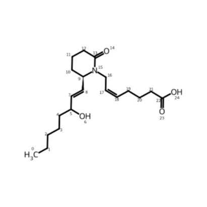 CCCCCC(O)/C=C/[C@H]1CCCC(=O)N1C/C=C\CCCC(=O)O